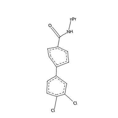 CCCNC(=O)c1ccc(-c2ccc(Cl)c(Cl)c2)cc1